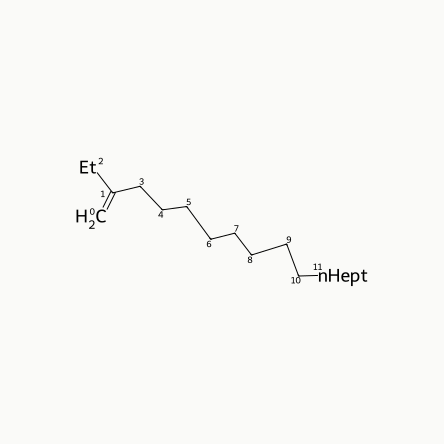 C=C(CC)CCCCCCCCCCCCCCC